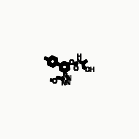 COCc1nnnn1-c1cc(OC(=O)NC(C)CO)cc(-c2ccc(C)cc2)c1